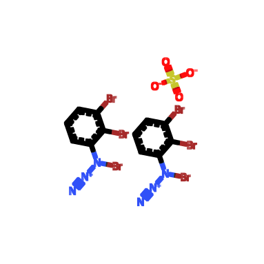 N#[N+]N(Br)c1cccc(Br)c1Br.N#[N+]N(Br)c1cccc(Br)c1Br.O=S(=O)([O-])[O-]